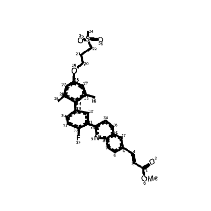 COC(=O)/C=C/c1ccc2nc(-c3cc(-c4c(C)cc(OCCCS(C)(=O)=O)cc4C)ccc3F)ccc2c1